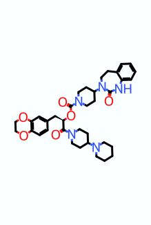 O=C(O[C@H](Cc1ccc2c(c1)OCCO2)C(=O)N1CCC(N2CCCCC2)CC1)N1CCC(N2CCc3ccccc3NC2=O)CC1